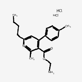 CCCCc1cc(-c2ccc(C)cc2)c(C(=O)OCN)c(C)n1.Cl.Cl